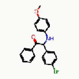 COc1ccc(NC(C(=O)c2ccccc2)c2ccc(Br)cc2)cc1